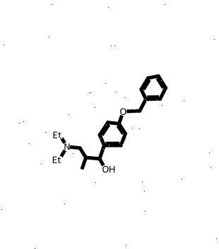 CCN(CC)CC(C)C(O)c1ccc(OCc2ccccc2)cc1